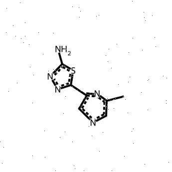 Cc1cncc(-c2nnc(N)s2)n1